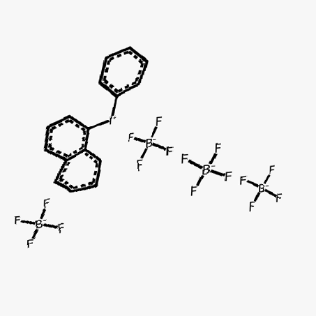 F[B-](F)(F)F.F[B-](F)(F)F.F[B-](F)(F)F.F[B-](F)(F)F.c1ccc([I+]c2cccc3ccccc23)cc1